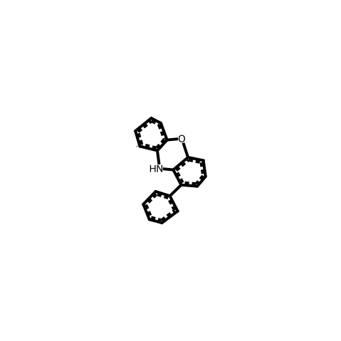 [c]1cccc2c1Nc1c(cccc1-c1ccccc1)O2